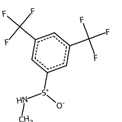 CN[S+]([O-])c1cc(C(F)(F)F)cc(C(F)(F)F)c1